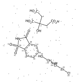 O=C(O)CC(O)(CC(=O)O)C(=O)O.O=C1NS(=O)(=O)c2ccccc21.OO.[Cl][Zn][Cl].[NaH]